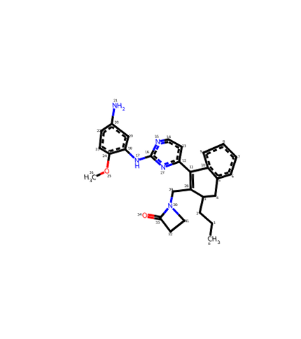 CCCC1Cc2ccccc2C(c2ccnc(Nc3cc(N)ccc3OC)n2)=C1CN1CCC1=O